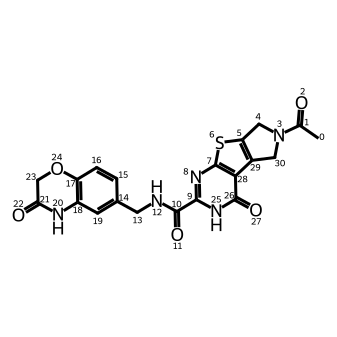 CC(=O)N1Cc2sc3nc(C(=O)NCc4ccc5c(c4)NC(=O)CO5)[nH]c(=O)c3c2C1